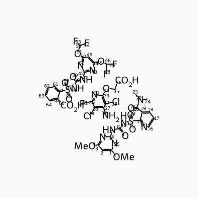 COc1cc(OC)nc(NC(=O)NS(=O)(=O)c2ncccc2C(=O)N(C)C)n1.Nc1c(Cl)c(F)nc(OCC(=O)O)c1Cl.O=C(Nc1nc(OC(F)F)cc(OC(F)F)n1)NS(=O)(=O)c1ccccc1C(=O)O